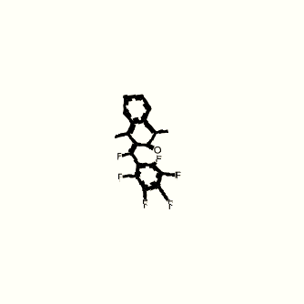 CC1=c2ccccc2=C(C)C(=C(F)c2c(F)c(F)c(F)c(F)c2F)C1=O